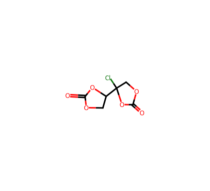 O=C1OCC(C2(Cl)COC(=O)O2)O1